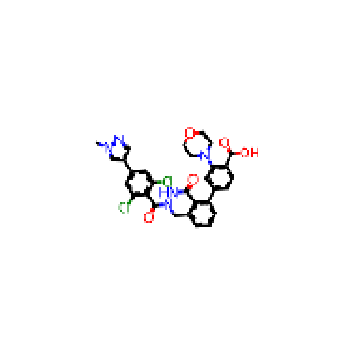 Cn1cc(-c2cc(Cl)c(C(=O)N3Cc4cccc(-c5ccc(C(=O)O)c(N6CCOCC6)c5)c4C(=O)N3)c(Cl)c2)cn1